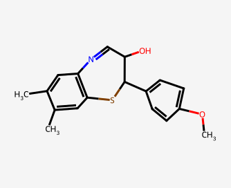 COc1ccc(C2Sc3cc(C)c(C)cc3N=CC2O)cc1